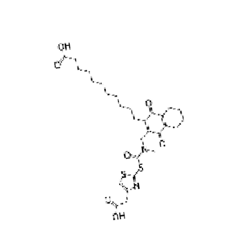 CN(CC1=C(CCCCCCCCCCC(=O)O)C(=O)C2=C(CCCC2)C1=O)C(=O)Sc1nc(CC(=O)O)cs1